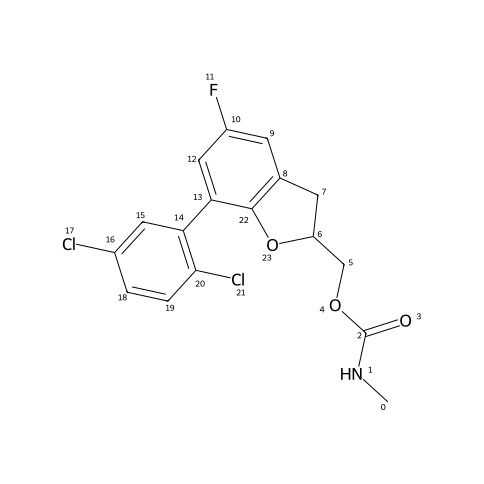 CNC(=O)OCC1Cc2cc(F)cc(-c3cc(Cl)ccc3Cl)c2O1